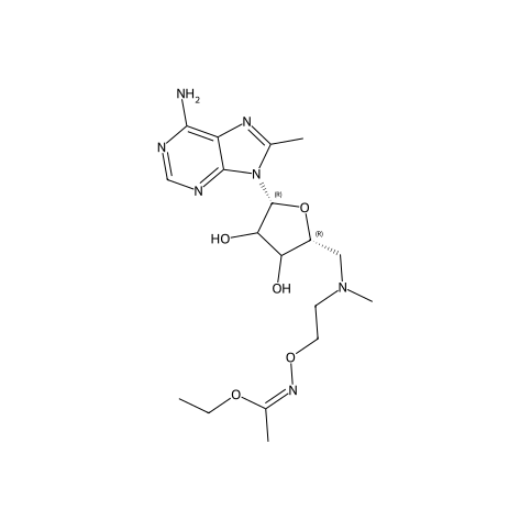 CCOC(C)=NOCCN(C)C[C@H]1O[C@@H](n2c(C)nc3c(N)ncnc32)C(O)C1O